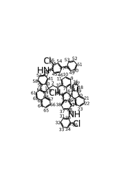 CC1(Cc2cc3c(c4ccccc24)C2(c4ccccc4-c4ccccc42)c2cc(Nc4ccccc4Cl)ccc2-3)c2cc(Nc3ccc(-c4ccccc4)cc3Cl)ccc2-c2ccc3ccccc3c21